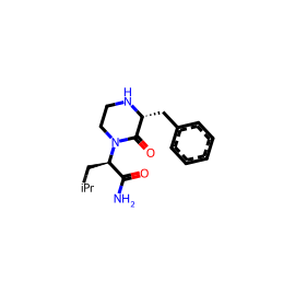 CC(C)C[C@H](C(N)=O)N1CCN[C@H](Cc2ccccc2)C1=O